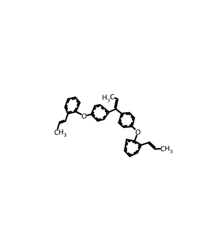 CC=Cc1ccccc1Oc1ccc(C(=CC)c2ccc(Oc3ccccc3C=CC)cc2)cc1